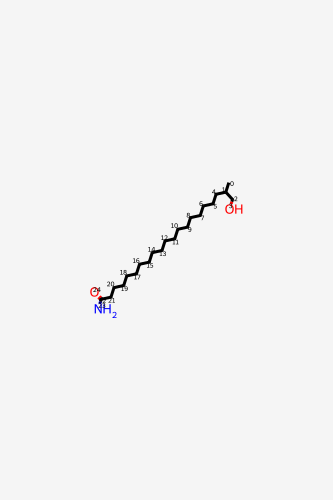 CC(CO)CCCCCCCCCCCCCCCCCCC(N)=O